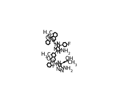 Cc1ccccc1-n1c(Cn2nc(-c3ccc(F)cc3)c3c(N)nc(-c4cc(C)c5c(=O)n(-c6ccccc6F)c(Cn6nc(C#C[C@@H](C)O)c7c(N)ncnc76)cc5c4)nc32)cc2cccc(C)c2c1=O